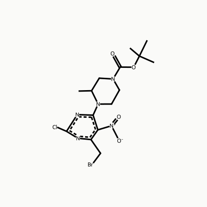 CC1CN(C(=O)OC(C)(C)C)CCN1c1nc(Cl)nc(CBr)c1[N+](=O)[O-]